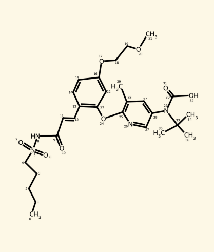 CCCCCS(=O)(=O)NC(=O)C=Cc1ccc(OCCOC)cc1Oc1ncc(N(C(=O)O)C(C)(C)C)cc1C